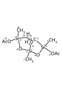 CC(=O)O[Si](C)(C)O[Si](C)(C)O[Si](C)(C)OC(C)=O